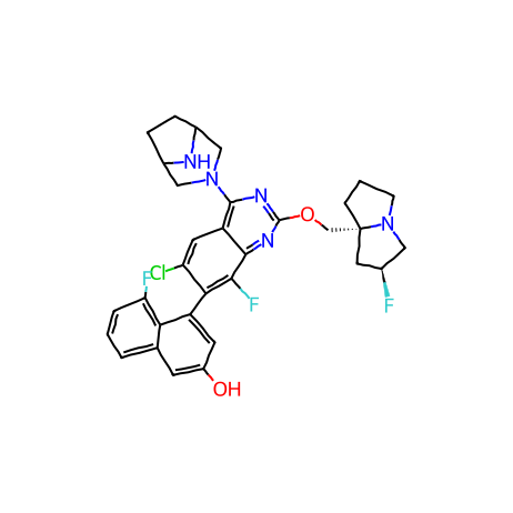 Oc1cc(-c2c(Cl)cc3c(N4CC5CCC(C4)N5)nc(OC[C@]45CCCN4C[C@@H](F)C5)nc3c2F)c2c(F)cccc2c1